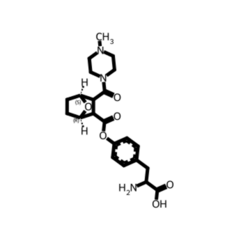 CN1CCN(C(=O)C2C(C(=O)Oc3ccc(CC(N)C(=O)O)cc3)[C@H]3CC[C@@H]2O3)CC1